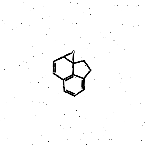 C1=CC2OC23CCc2cccc1c23